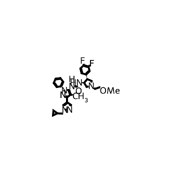 COCCN1C[C@@H](NC(=O)Nc2c(C)c(-c3cnn(CC4CC4)c3)nn2-c2ccccc2)[C@H](c2ccc(F)c(F)c2)C1